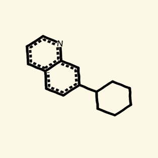 c1cnc2cc(C3CCCCC3)ccc2c1